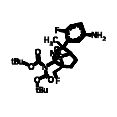 CC(C)(C)OC(=O)N(C(=O)OC(C)(C)C)C1=N[C@](C)(c2cc(N)ccc2F)C2CC[C@@]1(CF)S2(=O)=O